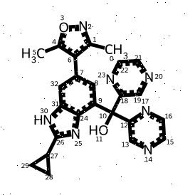 Cc1noc(C)c1-c1cc(C(O)(c2cnccn2)c2cnccn2)c2nc(C3CC3)[nH]c2c1